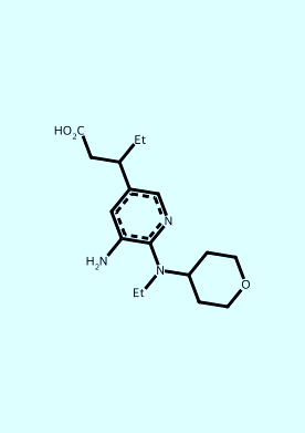 CCC(CC(=O)O)c1cnc(N(CC)C2CCOCC2)c(N)c1